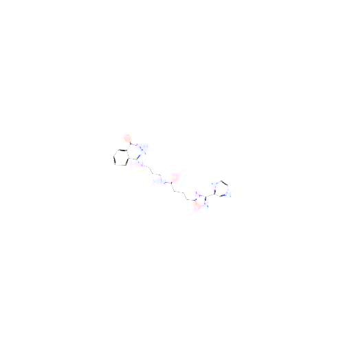 O=C(CCCc1nc(-c2cnccn2)no1)NCCCNc1n[nH]c(=O)c2ccccc12